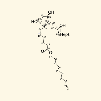 C=CCCCCCCCCOC(=O)CCC/C=C\C[C@@H]1[C@@H](CC[C@@H](O)CCCCCCC)[C@H](O)C[C@@H]1O